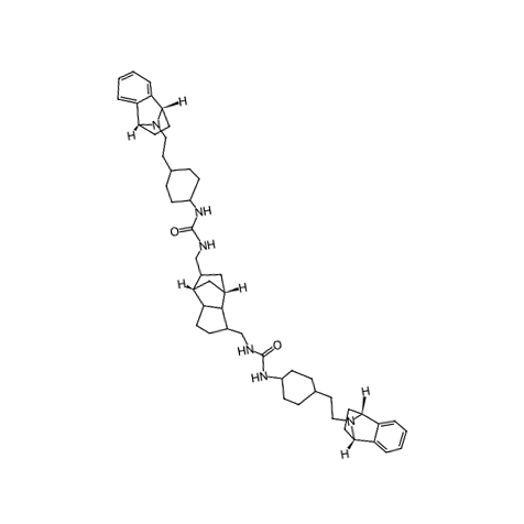 O=C(NCC1CCC2C1[C@H]1CC(CNC(=O)NC3CCC(CCN4[C@@H]5CC[C@H]4c4ccccc45)CC3)[C@@H]2C1)NC1CCC(CCN2[C@@H]3CC[C@H]2c2ccccc23)CC1